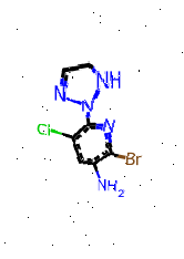 Nc1cc(Cl)c(N2N=CCN2)nc1Br